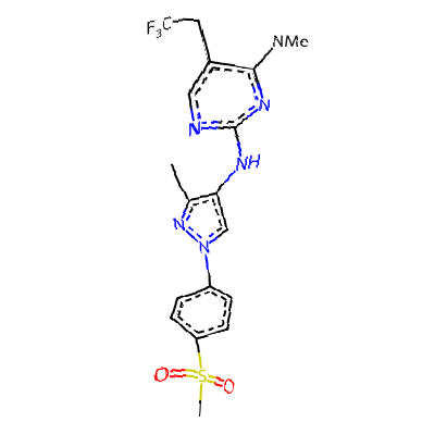 CNc1nc(Nc2cn(-c3ccc(S(C)(=O)=O)cc3)nc2C)ncc1CC(F)(F)F